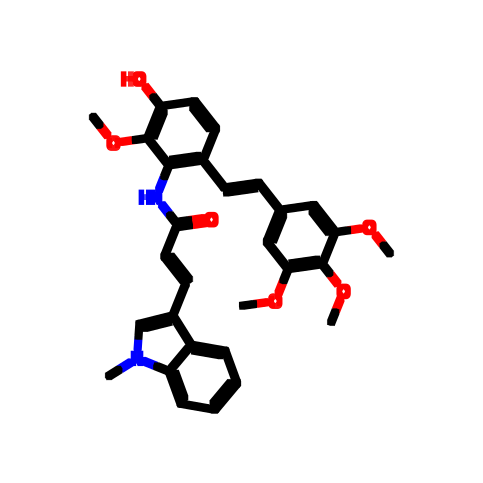 COc1cc(C=Cc2ccc(O)c(OC)c2NC(=O)/C=C/c2cn(C)c3ccccc23)cc(OC)c1OC